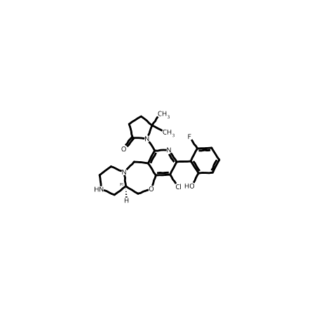 CC1(C)CCC(=O)N1c1nc(-c2c(O)cccc2F)c(Cl)c2c1CN1CCNC[C@@H]1CO2